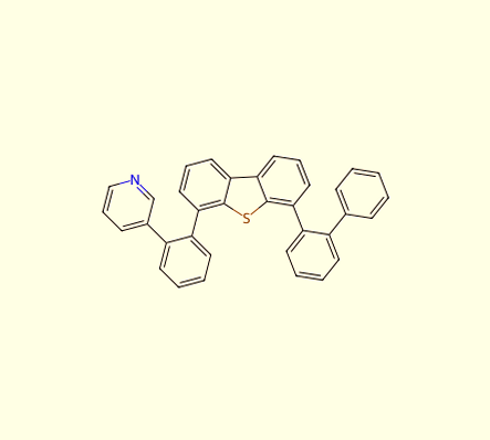 c1ccc(-c2ccccc2-c2cccc3c2sc2c(-c4ccccc4-c4cccnc4)cccc23)cc1